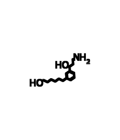 NCCC(O)c1cccc(CCCCCCO)c1